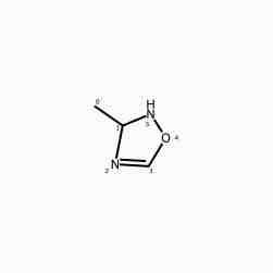 CC1N=CON1